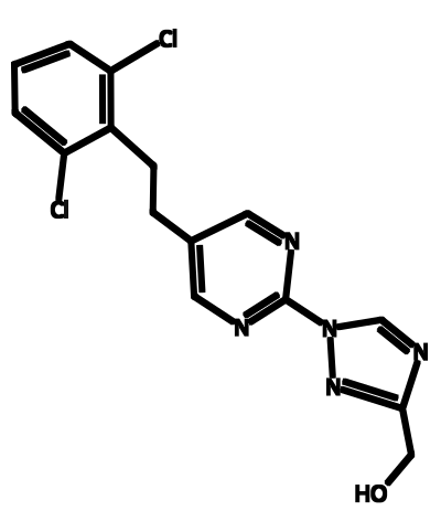 OCc1ncn(-c2ncc(CCc3c(Cl)cccc3Cl)cn2)n1